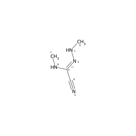 CN/N=C(/C#N)NC